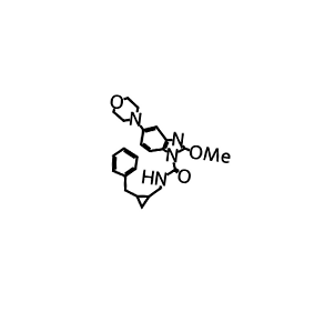 COc1nc2cc(N3CCOCC3)ccc2n1C(=O)NCC1CC1Cc1ccccc1